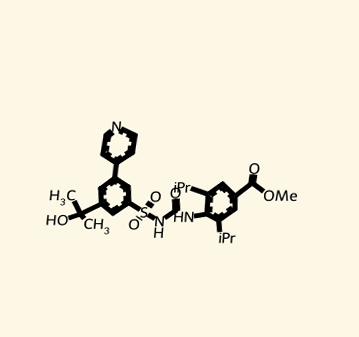 COC(=O)c1cc(C(C)C)c(NC(=O)NS(=O)(=O)c2cc(-c3ccncc3)cc(C(C)(C)O)c2)c(C(C)C)c1